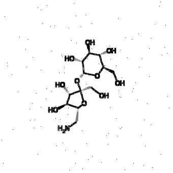 NC[C@H]1O[C@](CO)(O[C@H]2O[C@H](CO)[C@@H](O)[C@H](O)[C@H]2O)[C@@H](O)[C@@H]1O